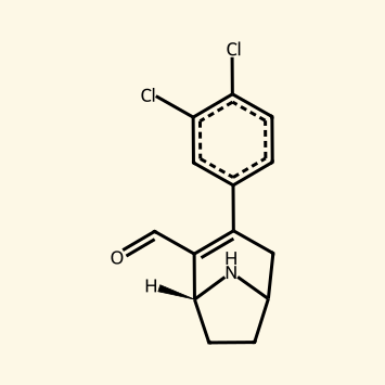 O=CC1=C(c2ccc(Cl)c(Cl)c2)CC2CC[C@H]1N2